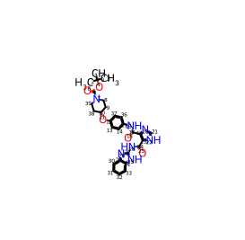 CC(C)(C)OC(=O)N1CCC(Oc2ccc(NC(=O)c3nc[nH]c3C(=O)Nc3nc4ccccc4[nH]3)cc2)CC1